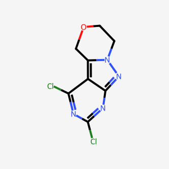 Clc1nc(Cl)c2c3n(nc2n1)CCOC3